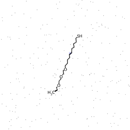 C=CCOCCOCCOCCCC/C=C/CCCCCS